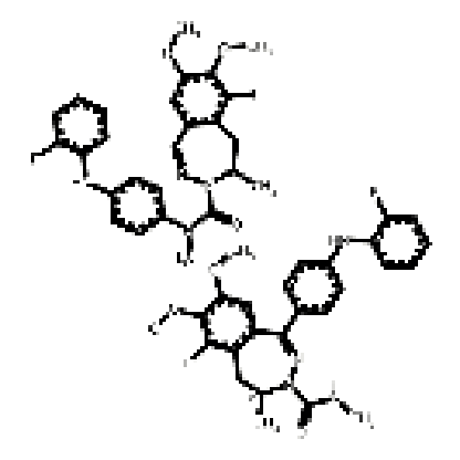 CNC(=O)N1N=C(c2ccc(Nc3ccccc3F)cc2)c2cc(OC)c(OC)c(F)c2C[C@@H]1C.COc1cc2c(c(F)c1OC)CC(C)N(C(=O)N(C)c1ccc(Nc3ccccc3F)cc1)N=C2